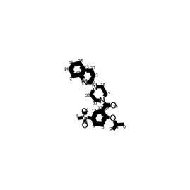 CC(C)Oc1ccc(S(C)(=O)=O)cc1C(=O)N1CCN(c2ccc3ccccc3n2)CC1